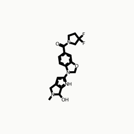 CN1Cc2cc(N3COc4cc(C(=O)N5CCC(F)(F)C5)ccc43)[nH]c2C1O